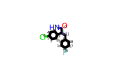 O=C1Nc2cc(Cl)ccc2/C1=C\c1ccc(F)cc1